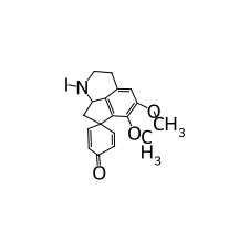 COc1cc2c3c(c1OC)C1(C=CC(=O)C=C1)CC3N(I)CC2